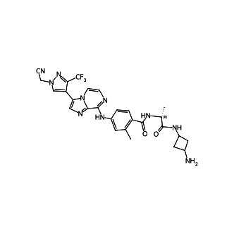 Cc1cc(Nc2nccn3c(-c4cn(CC#N)nc4C(F)(F)F)cnc23)ccc1C(=O)N[C@H](C)C(=O)NC1CC(N)C1